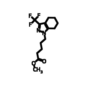 COC(=O)CCCCn1nc(C(F)(F)F)c2c1CCCC2